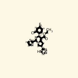 CCOC(=O)C1=C2C[C@@H](c3nnn[nH]3)CN2C(c2nccs2)=N[C@H]1c1ccc(F)cc1Cl